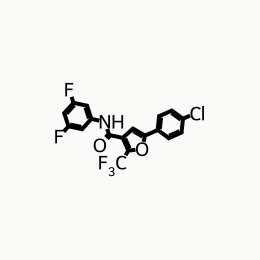 O=C(Nc1cc(F)cc(F)c1)c1cc(-c2ccc(Cl)cc2)oc1C(F)(F)F